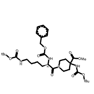 COC(=O)C1(NC(=O)OC(C)(C)C)CCN(C(=O)[C@@H](CCCCNC(=O)OC(C)(C)C)NC(=O)OCc2ccccc2)CC1